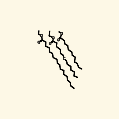 CCCCCCCCCCCC(=O)OC.CCCCCCCCCCCCCC(=O)OCC.CCCCCCCCCCCCCCCCCC(=O)OCC